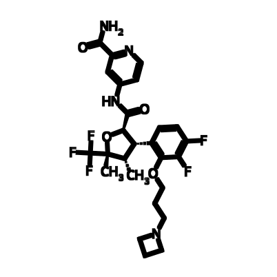 C[C@H]1[C@@H](c2ccc(F)c(F)c2OCCCN2CCC2)[C@H](C(=O)Nc2ccnc(C(N)=O)c2)O[C@@]1(C)C(F)(F)F